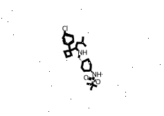 CC(C)CC(NC[C@H]1CC[C@H](NS(=O)(=O)C(C)(C)C)CC1)C1(c2ccc(Cl)cc2)CCC1